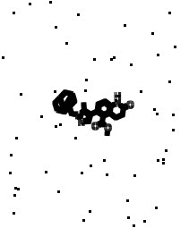 COC(=O)c1c(-c2cnn(CC34CC5CC(CC(C5)C3)C4)c2C)ccc2c1CCC(=O)N2